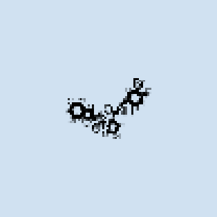 O=C(NCc1ccc(F)c(Br)c1)[C@@H]1CCCN1S(=O)(=O)c1cc2ccccc2o1